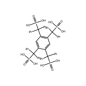 CC(C)C(c1cc(C(C(C)C)(C(C)C)P(=O)(O)O)c(C(C(C)C)(C(C)C)P(=O)(O)O)cc1C(C(C)C)(C(C)C)P(=O)(O)O)(C(C)C)P(=O)(O)O